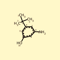 CC(C)(C)c1cc(N)cc(O)c1